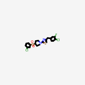 O=S(=O)(c1cccc(Cl)c1)C1CCN(c2nc(Cc3ccc(Cl)c(F)c3)cs2)CC1